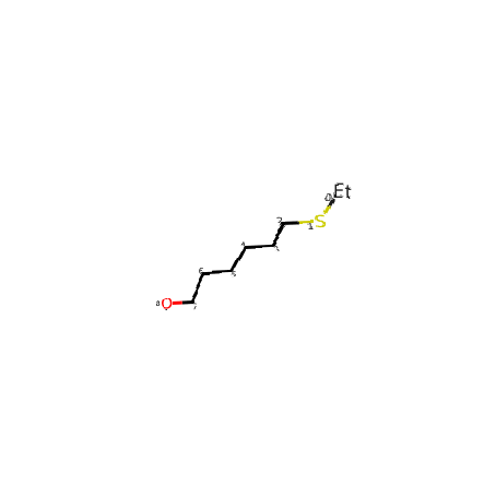 CCSCCCCCC[O]